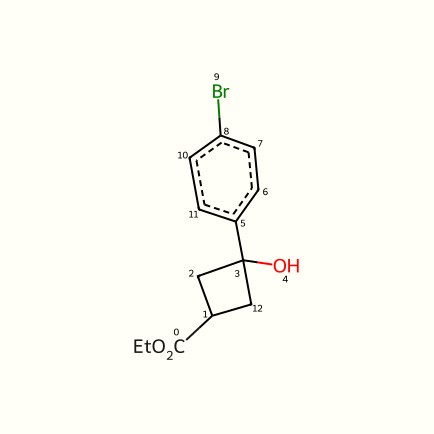 CCOC(=O)C1CC(O)(c2ccc(Br)cc2)C1